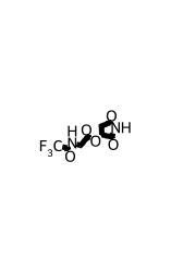 O=C1CC(OC(=O)CNC(=O)C(F)(F)F)C(=O)N1